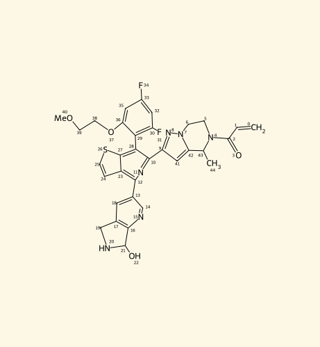 C=CC(=O)N1CCn2nc(-c3nc(-c4cnc5c(c4)CNC5O)c4ccsc4c3-c3c(F)cc(F)cc3OCCOC)cc2C1C